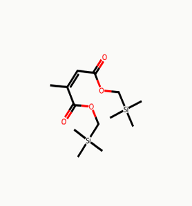 C/C(=C/C(=O)OC[Si](C)(C)C)C(=O)OC[Si](C)(C)C